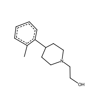 Cc1ccccc1C1CCN(CCO)CC1